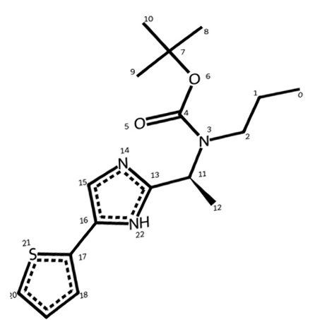 CCCN(C(=O)OC(C)(C)C)[C@@H](C)c1ncc(-c2cccs2)[nH]1